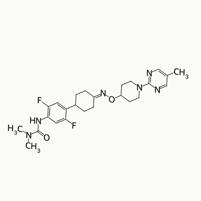 Cc1cnc(N2CCC(ON=C3CCC(c4cc(F)c(NC(=O)N(C)C)cc4F)CC3)CC2)nc1